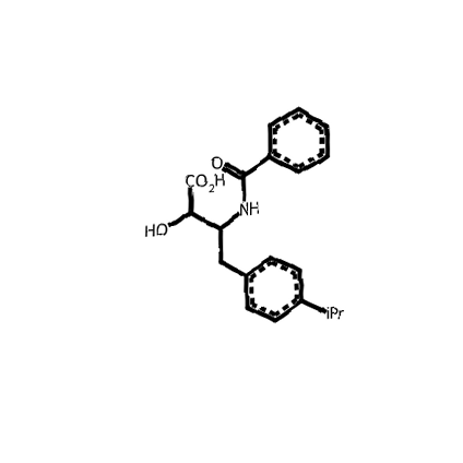 CC(C)c1ccc(CC(NC(=O)c2ccccc2)C(O)C(=O)O)cc1